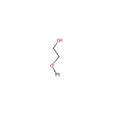 OCC[O][Pt]